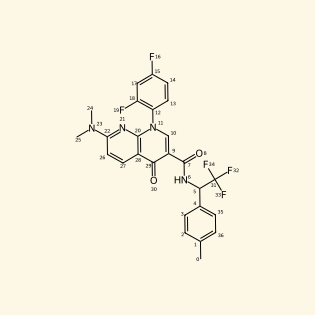 Cc1ccc(C(NC(=O)c2cn(-c3ccc(F)cc3F)c3nc(N(C)C)ccc3c2=O)C(F)(F)F)cc1